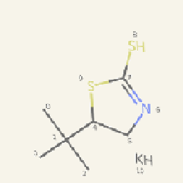 CC(C)(C)C1CN=C(S)S1.[KH]